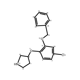 Clc1ccc(OC2CCNC2)c(OCc2ccccc2)c1